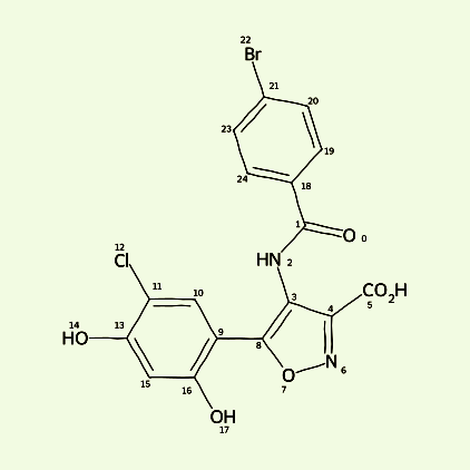 O=C(Nc1c(C(=O)O)noc1-c1cc(Cl)c(O)cc1O)c1ccc(Br)cc1